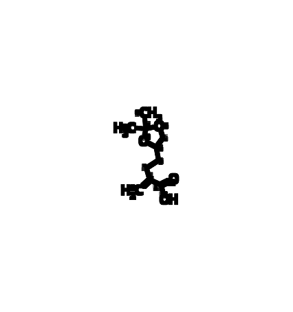 C=C(CCC1COC(C)(C)O1)C(=O)O